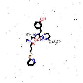 CC(C)C(NC(=O)CCCSSc1ccccn1)C(=O)NC(Cc1cccc(O)c1)C(=O)N1CCCC(C(=O)O)N1